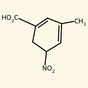 CC1=CC([N+](=O)[O-])CC(C(=O)O)=C1